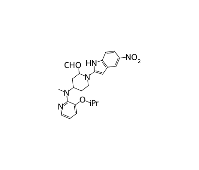 CC(C)Oc1cccnc1N(C)C1CCN(c2cc3cc([N+](=O)[O-])ccc3[nH]2)C(C=O)C1